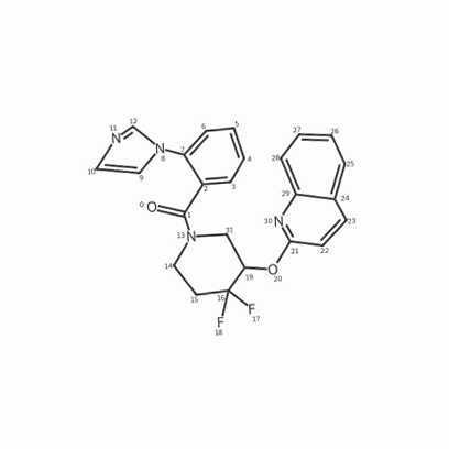 O=C(c1ccccc1-n1ccnc1)N1CCC(F)(F)C(Oc2ccc3ccccc3n2)C1